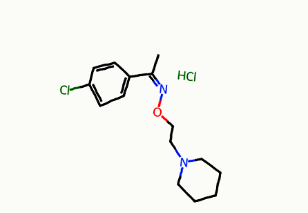 CC(=NOCCN1CCCCC1)c1ccc(Cl)cc1.Cl